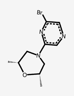 C[C@@H]1CN(c2cncc(Br)n2)C[C@H](C)O1